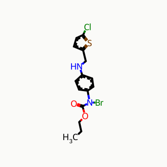 CCCOC(=O)N(Br)c1ccc(NCc2ccc(Cl)s2)cc1